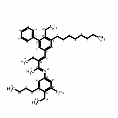 CCCCCCCCc1cc(C=C(CC)C(C)=Nc2cc(C)c(CC)c(CCCC)c2)cc(-c2ccccc2)c1CC